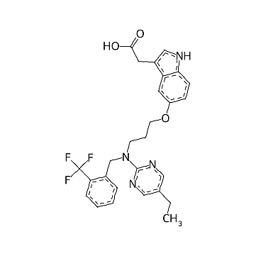 CCc1cnc(N(CCCOc2ccc3[nH]cc(CC(=O)O)c3c2)Cc2ccccc2C(F)(F)F)nc1